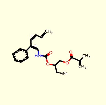 C=C/C=C\C(=C\NC(=O)OC(COC(=O)C(=C)C)CC(C)C)c1ccccc1